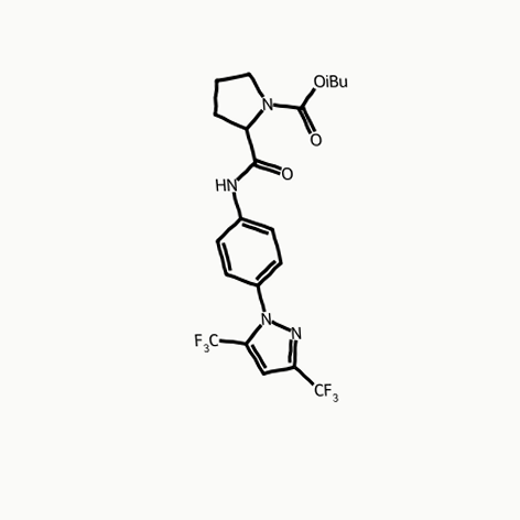 CC(C)COC(=O)N1CCCC1C(=O)Nc1ccc(-n2nc(C(F)(F)F)cc2C(F)(F)F)cc1